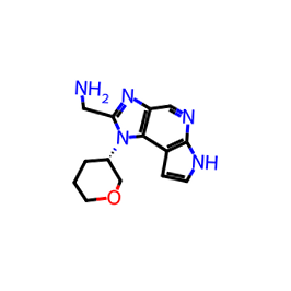 NCc1nc2cnc3[nH]ccc3c2n1[C@H]1CCCOC1